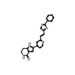 O=C1NCCc2[nH]c(-c3ccnc(/C=C/c4csc(-c5ccccc5)n4)c3)cc21